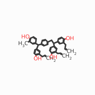 C=CCc1cc(C(Cc2ccc(C(c3ccc(O)c(C)c3)c3ccc(O)c(CC=C)c3)cc2)c2ccc(O)c(CC=C)c2)ccc1O